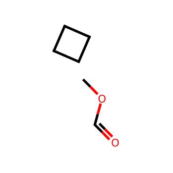 C1CCC1.COC=O